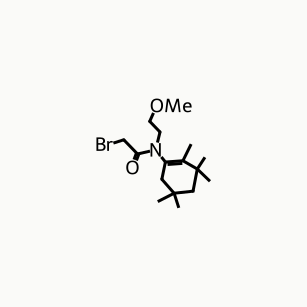 COCCN(C(=O)CBr)C1=C(C)C(C)(C)CC(C)(C)C1